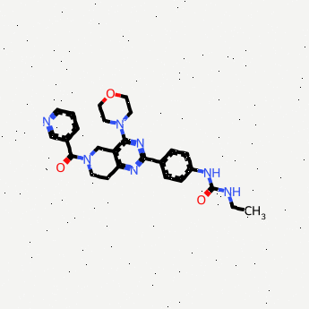 CCNC(=O)Nc1ccc(-c2nc3c(c(N4CCOCC4)n2)CN(C(=O)c2cccnc2)CC3)cc1